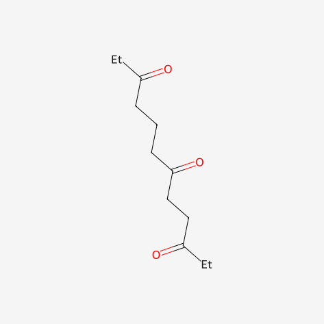 CCC(=O)CCCC(=O)CCC(=O)CC